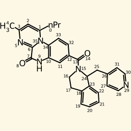 CCCC1=C=C(C)N=C2C(=O)Nc3cc(C(=O)N4CCc5ccccc5C4Cc4ccncc4)ccc3N12